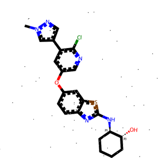 Cn1cc(-c2cc(Oc3ccc4nc(N[C@@H]5CCCC[C@H]5O)sc4c3)cnc2Cl)cn1